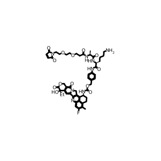 CC[C@@]1(O)C(=O)OCc2c1cc1n(c2=O)Cc2c-1nc1cc(F)c(C)c3c1c2[C@@H](NC(=O)OCc1ccc(NC(=O)[C@H](CCCCN)NC(=O)[C@H](C)NC(=O)CCOCCOCCN2C(=O)C=CC2=O)cc1)CC3